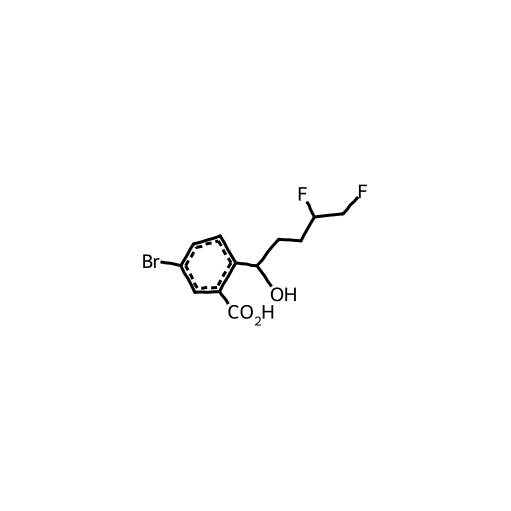 O=C(O)c1cc(Br)ccc1C(O)CCC(F)CF